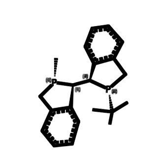 C[P@@]1Cc2ccccc2[C@@H]1[C@H]1c2ccccc2C[P@]1C(C)(C)C